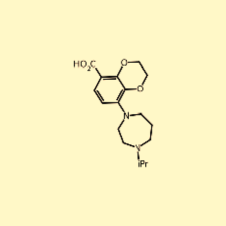 CC(C)N1CCCN(c2ccc(C(=O)O)c3c2OCCO3)CC1